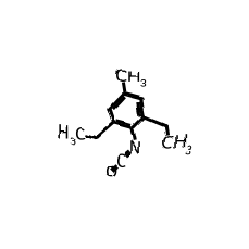 CCc1cc(C)cc(CC)c1N=C=O